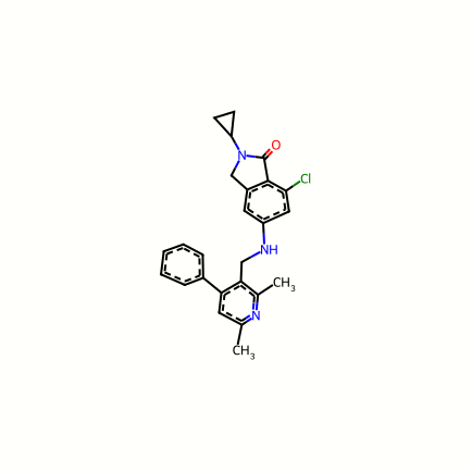 Cc1cc(-c2ccccc2)c(CNc2cc(Cl)c3c(c2)CN(C2CC2)C3=O)c(C)n1